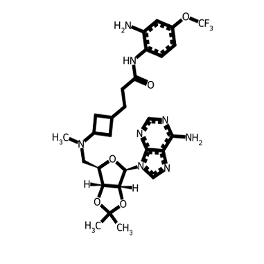 CN(C[C@H]1O[C@@H](n2cnc3c(N)ncnc32)[C@@H]2OC(C)(C)O[C@@H]21)C1CC(CCC(=O)Nc2ccc(OC(F)(F)F)cc2N)C1